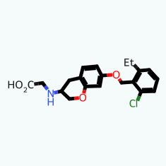 CCc1cccc(Cl)c1COc1ccc2c(c1)OCC(NCC(=O)O)C2